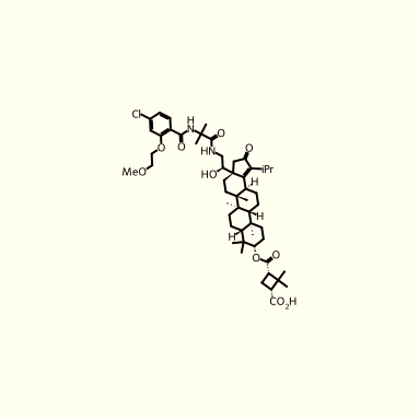 COCCOc1cc(Cl)ccc1C(=O)NC(C)(C)C(=O)NC[C@H](O)[C@@]12CC[C@]3(C)[C@H](CC[C@@H]4[C@@]5(C)CC[C@H](OC(=O)[C@H]6C[C@@H](C(=O)O)C6(C)C)C(C)(C)[C@@H]5CC[C@]43C)C1=C(C(C)C)C(=O)C2